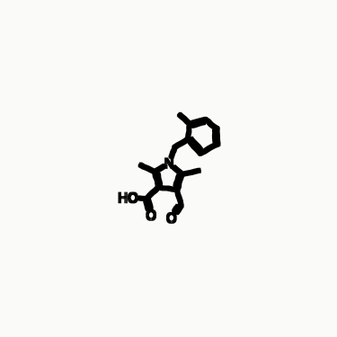 Cc1ccccc1Cn1c(C)c(C=O)c(C(=O)O)c1C